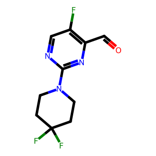 O=Cc1nc(N2CCC(F)(F)CC2)ncc1F